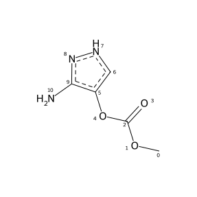 COC(=O)Oc1c[nH]nc1N